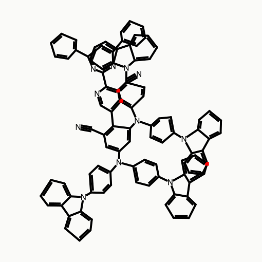 N#Cc1cc(-c2c(C#N)cc(N(c3ccc(-n4c5ccccc5c5ccccc54)cc3)c3ccc(-n4c5ccccc5c5ccccc54)cc3)cc2N(c2ccc(-n3c4ccccc4c4ccccc43)cc2)c2ccc(-n3c4ccccc4c4ccccc43)cc2)cnc1-c1nc(-c2ccccc2)cc(-c2ccccc2)n1